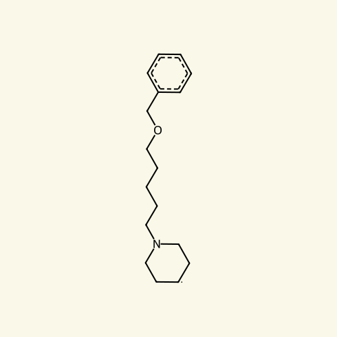 [CH]1CCN(CCCCCOCc2ccccc2)CC1